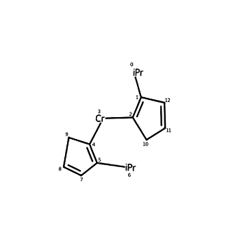 CC(C)C1=[C]([Cr][C]2=C(C(C)C)C=CC2)CC=C1